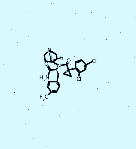 NC(=O)[C@H](Cc1ccc(C(F)(F)F)cc1)N(C(=O)C1(c2ccc(Cl)cc2Cl)CC1)[C@H]1CN2CCC1CC2